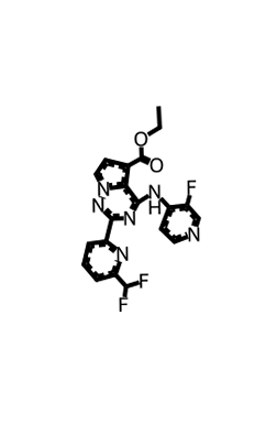 CCOC(=O)c1ccn2nc(-c3cccc(C(F)F)n3)nc(Nc3ccncc3F)c12